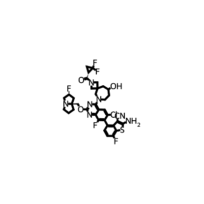 N#Cc1c(N)sc2c(F)ccc(-c3c(Cl)cc4c(N5CCC(O)CC6(CN(C(=O)[C@@H]7CC7(F)F)C6)C5)nc(OC[C@@]56CCCN5C[C@H](F)C6)nc4c3F)c12